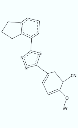 CC(C)OC1=CC=C(c2nnc(-c3cccc4c3CCC4)s2)CC1C#N